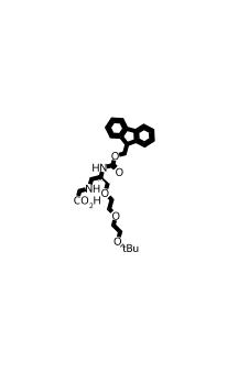 CC(C)(C)OCCOCCOC[C@@H](CNCC(=O)O)NC(=O)OCC1c2ccccc2-c2ccccc21